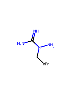 CCCCN(N)C(=N)N